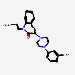 CC=CN1C(=O)C(N2CCN(c3cccc(C)c3)CC2)Cc2ccccc21